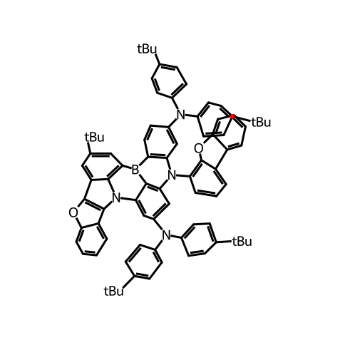 CC(C)(C)c1ccc(N(c2ccc(C(C)(C)C)cc2)c2ccc3c(c2)N(c2cccc4c2oc2ccccc24)c2cc(N(c4ccc(C(C)(C)C)cc4)c4ccc(C(C)(C)C)cc4)cc4c2B3c2cc(C(C)(C)C)cc3c5oc6ccccc6c5n-4c23)cc1